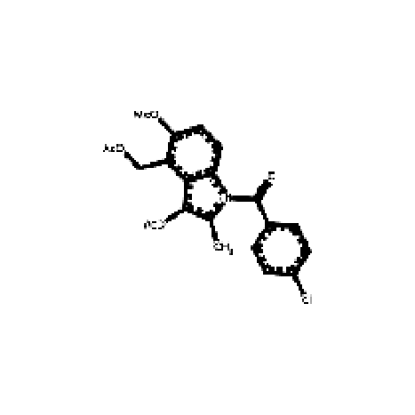 COc1ccc2c(c1COC(C)=O)c(OC(C)=O)c(C)n2C(=O)c1ccc(Cl)cc1